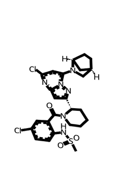 CS(=O)(=O)Nc1ccc(Cl)cc1C(=O)N1CCCC[C@H]1c1cc2nc(Cl)cc(N3C[C@@H]4CC[C@H]3C4)n2n1